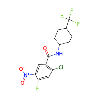 O=C(NC1CCC(C(F)(F)F)CC1)c1cc([N+](=O)[O-])c(F)cc1Cl